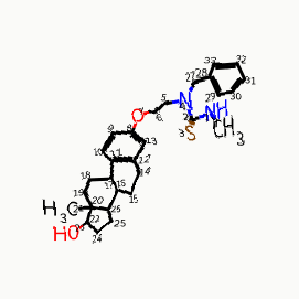 CNC(=S)N(CCOc1ccc2c(c1)CCC1C2CCC2(C)C(O)CCC12)Cc1ccccc1